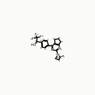 C[C@H]1CCN1c1nc2c(c(-c3ccc(C(O)C(F)(F)F)cc3)n1)CCC2